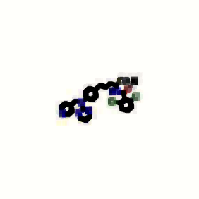 O=C(NC(C/C=C/c1ccc(N(Cc2ccncc2)c2ncccn2)cc1)C(=O)O)c1c(Cl)cccc1Cl